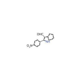 O=Cc1c(-c2ccc([N+](=O)[O-])cc2)[nH]c2ccccc12